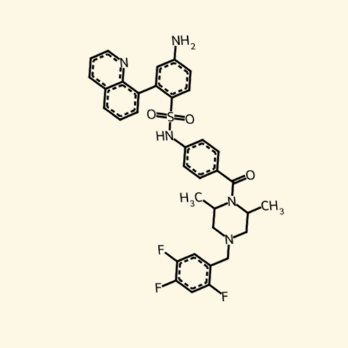 CC1CN(Cc2cc(F)c(F)cc2F)CC(C)N1C(=O)c1ccc(NS(=O)(=O)c2ccc(N)cc2-c2cccc3cccnc23)cc1